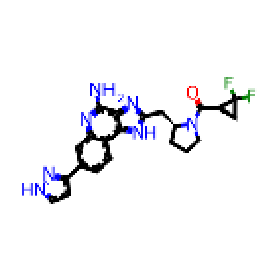 Nc1nc2cc(-c3cc[nH]n3)ccc2c2[nH]c(C[C@@H]3CCCN3C(=O)C3CC3(F)F)nc12